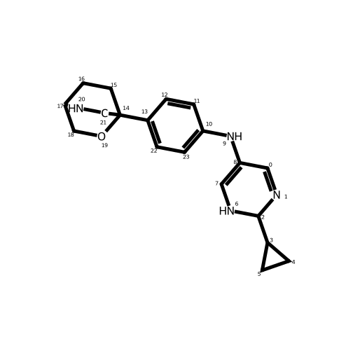 C1=NC(C2CC2)NC=C1Nc1ccc(C23CCC(CO2)NC3)cc1